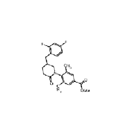 COC(=O)c1cc(C)c(N2CC(Cc3ccc(F)cc3F)CCC2=O)c(C)c1